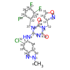 Cn1cc2cc(Nc3nc(=O)n(Cc4ccon4)c(=O)n3Cc3cc(F)c(F)cc3F)c(Cl)cc2n1